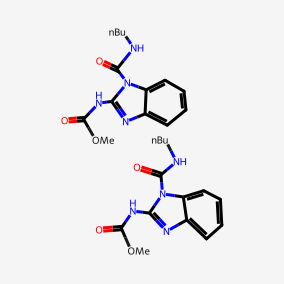 CCCCNC(=O)n1c(NC(=O)OC)nc2ccccc21.CCCCNC(=O)n1c(NC(=O)OC)nc2ccccc21